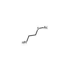 CCCCCSC(C)=O